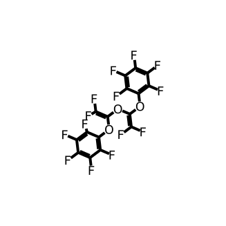 FC(F)=C(OC(Oc1c(F)c(F)c(F)c(F)c1F)=C(F)F)Oc1c(F)c(F)c(F)c(F)c1F